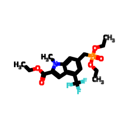 CCOC(=O)c1cc2c(C(F)(F)F)cc(CP(=O)(OCC)OCC)cc2n1C